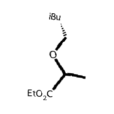 CCOC(=O)C(C)OC[C@@H](C)CC